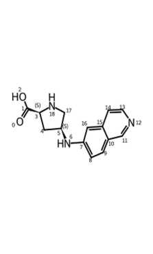 O=C(O)[C@@H]1C[C@H](Nc2ccc3cnccc3c2)CN1